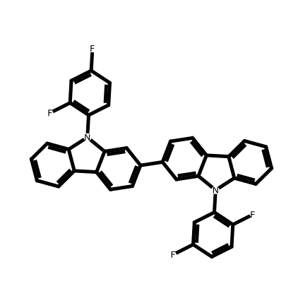 Fc1ccc(-n2c3ccccc3c3ccc(-c4ccc5c6ccccc6n(-c6cc(F)ccc6F)c5c4)cc32)c(F)c1